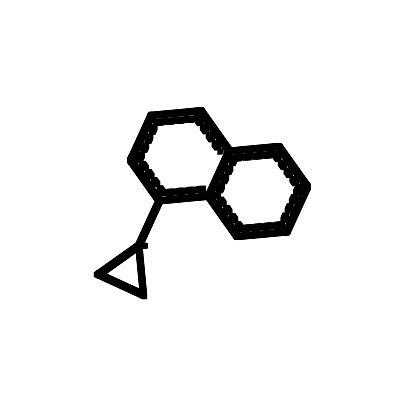 c1ccc2c([C]3CC3)cccc2c1